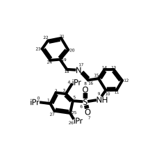 CC(C)c1cc(C(C)C)c(S(=O)(=O)Nc2ccccc2/C=N/Cc2ccccc2)c(C(C)C)c1